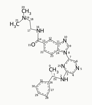 C[C@H](Nc1cncc(-n2cnc3cc(C(=O)NCCN(C)C)ccc32)n1)c1ccccc1